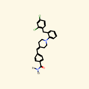 CCN(CC)C(=O)c1ccc(C=C2CCN(c3ccccc3Cc3ccc(Cl)cc3Cl)CC2)cc1